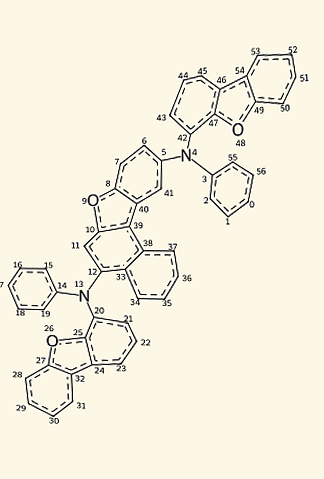 c1ccc(N(c2ccc3oc4cc(N(c5ccccc5)c5cccc6c5oc5ccccc56)c5ccccc5c4c3c2)c2cccc3c2oc2ccccc23)cc1